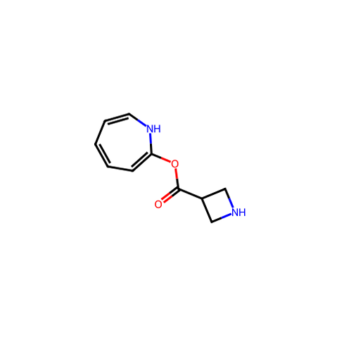 O=C(OC1=CC=CC=CN1)C1CNC1